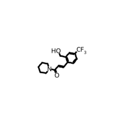 O=C(C=Cc1ccc(C(F)(F)F)cc1CO)N1CCCCC1